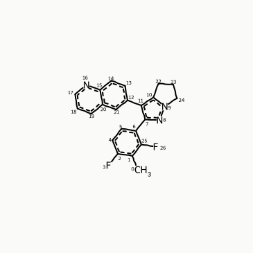 Cc1c(F)ccc(-c2nn3c(c2-c2ccc4ncccc4c2)CCC3)c1F